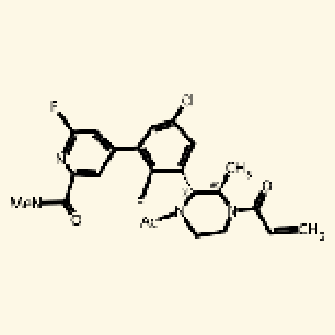 C=CC(=O)N1CCN(C(C)=O)[C@H](c2cc(Cl)cc(-c3cc(F)nc(C(=O)NC)c3)c2F)[C@H]1C